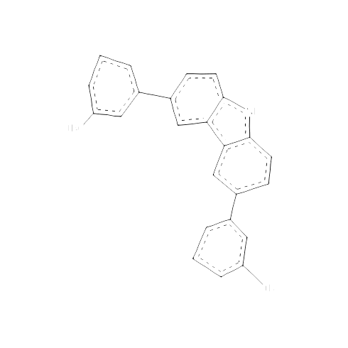 CC(C)(C)c1cccc(-c2ccc3[nH]c4ccc(-c5cccc(C(C)(C)C)c5)cc4c3c2)c1